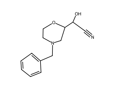 N#CC(O)C1CN(Cc2ccccc2)CCO1